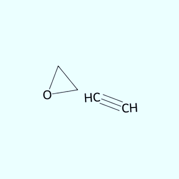 C#C.C1CO1